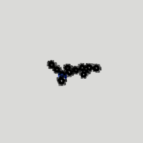 CC1(c2ccccc2)c2cc(-c3ccccc3)ccc2-c2ccc(-c3ccc(-c4ccc(-c5cc(-c6ccc(-c7ccccc7)cc6)nc(-c6ccccc6)n5)c5ccccc45)cc3)cc21